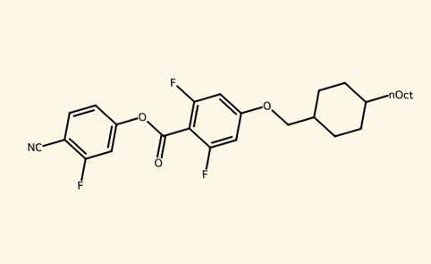 CCCCCCCCC1CCC(COc2cc(F)c(C(=O)Oc3ccc(C#N)c(F)c3)c(F)c2)CC1